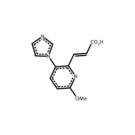 COc1ccc(-n2ccnc2)c(/C=C/C(=O)O)n1